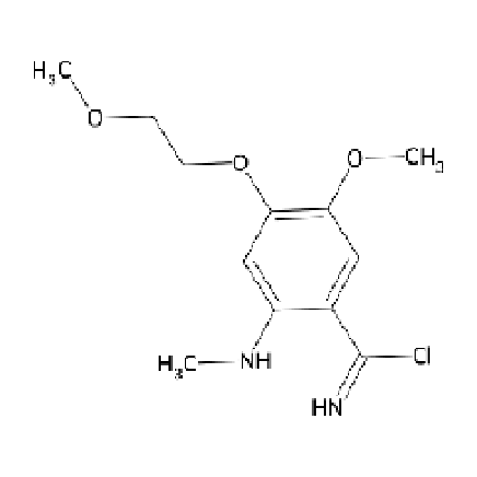 CNc1cc(OCCOC)c(OC)cc1C(=N)Cl